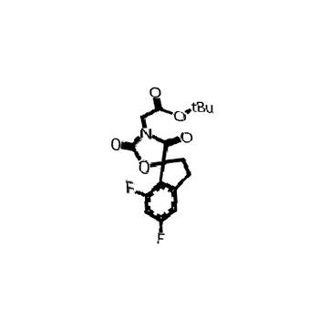 CC(C)(C)OC(=O)CN1C(=O)OC2(CCc3cc(F)cc(F)c32)C1=O